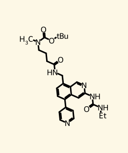 CCNC(=O)Nc1cc2c(-c3ccncc3)ccc(CNC(=O)CCCN(C)C(=O)OC(C)(C)C)c2cn1